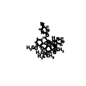 COc1ccccc1Oc1c(C(C)(C)C)cc(S(C)(=O)=O)c(S(=O)(=O)Nc2ccncn2)c1OCCOc1ncc(Br)cn1